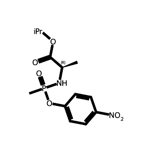 CC(C)OC(=O)[C@@H](C)NP(C)(=O)Oc1ccc([N+](=O)[O-])cc1